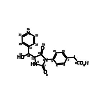 O=C(O)Cc1ccc(N2C(=O)NC(C(O)c3ccncc3)C2=O)cc1